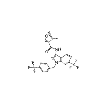 Cc1nocc1C(=O)Nc1nn(Cc2ccc(C(F)(F)F)cc2)c2cc(C(F)(F)F)ccc12